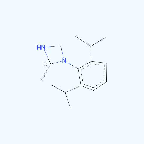 CC(C)c1cccc(C(C)C)c1N1CN[C@H]1C